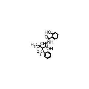 CC(C)(C)C(Oc1ccccc1)C(O)CNC(=O)c1ccccc1O